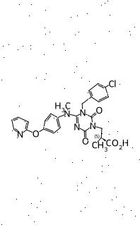 C[C@@H](Cn1c(=O)nc(N(C)c2ccc(Oc3ccccn3)cc2)n(Cc2ccc(Cl)cc2)c1=O)C(=O)O